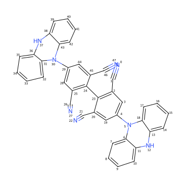 N#Cc1cc(N2c3ccccc3Nc3ccccc32)cc(C#N)c1-c1c(C#N)cc(N2c3ccccc3Nc3ccccc32)cc1C#N